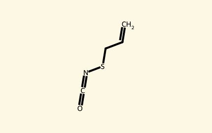 C=CCSN=C=O